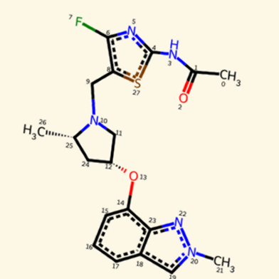 CC(=O)Nc1nc(F)c(CN2C[C@H](Oc3cccc4cn(C)nc34)C[C@@H]2C)s1